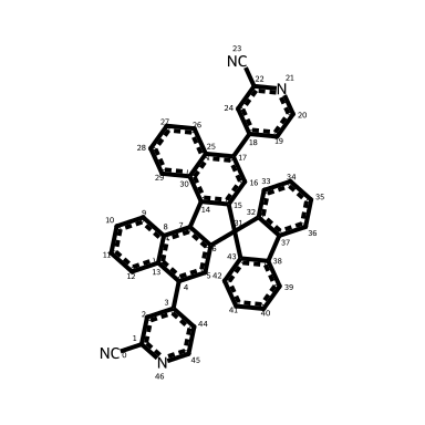 N#Cc1cc(-c2cc3c(c4ccccc24)-c2c(cc(-c4ccnc(C#N)c4)c4ccccc24)C32c3ccccc3-c3ccccc32)ccn1